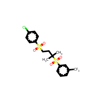 CC(C)(CCS(=O)(=O)c1ccc(Cl)cc1)S(=O)(=O)c1cccc(C(F)(F)F)c1